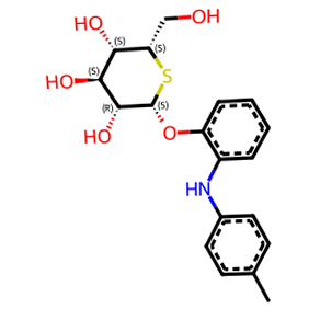 Cc1ccc(Nc2ccccc2O[C@H]2S[C@@H](CO)[C@@H](O)[C@H](O)[C@H]2O)cc1